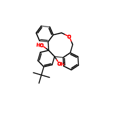 CC(C)(C)C1=CC2(O)c3ccccc3COCc3ccccc3C2(O)C=C1